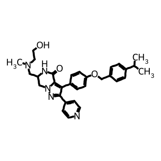 CC(C)c1ccc(COc2ccc(-c3c(-c4ccncc4)nn4c3C(=O)NC(CN(C)CCO)C4)cc2)cc1